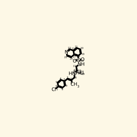 CC(=Cc1ccc(Cl)cc1)CNCCNS(=O)(=O)c1cccc2cnccc12.Cl.Cl